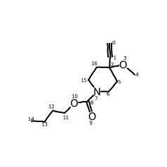 C#CC1(OC)CCN(C(=O)OCCCC)CC1